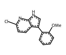 COc1ccccc1-c1c[nH]c2nc(Cl)ccc12